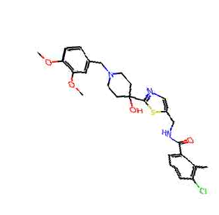 COc1ccc(CN2CCC(O)(c3ncc(CNC(=O)c4cccc(Cl)c4C)s3)CC2)cc1OC